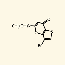 CN(O)c1cc(=O)c2scc(Br)c2o1